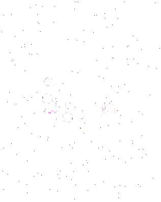 C[P]1(O)OCC2(CCN(Cc3ccc(C(=O)Nc4cc(-c5cccs5)ccc4N)cc3)CC2)CO1